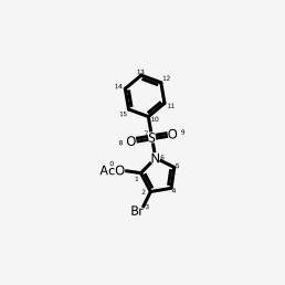 CC(=O)Oc1c(Br)ccn1S(=O)(=O)c1ccccc1